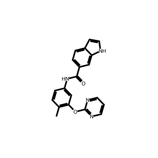 Cc1ccc(NC(=O)c2ccc3cc[nH]c3c2)cc1Oc1ncccn1